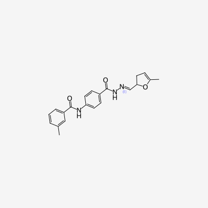 CC1=CCC(/C=N/NC(=O)c2ccc(NC(=O)c3cccc(C)c3)cc2)O1